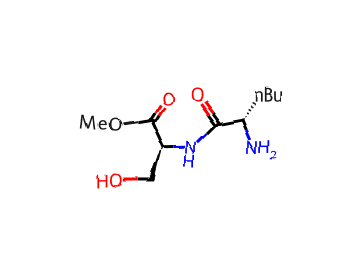 CCCC[C@H](N)C(=O)N[C@@H](CO)C(=O)OC